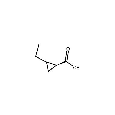 CCC1C[C@@H]1C(=O)O